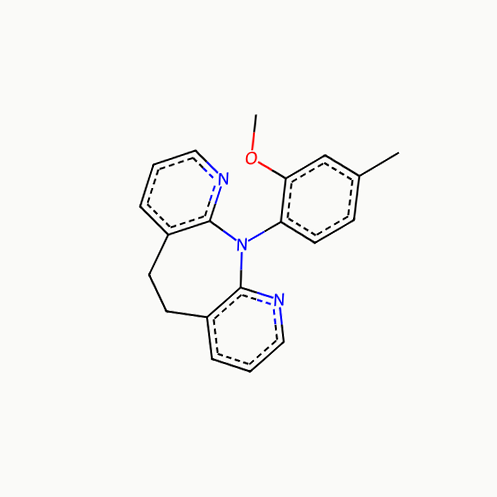 COc1cc(C)ccc1N1c2ncccc2CCc2cccnc21